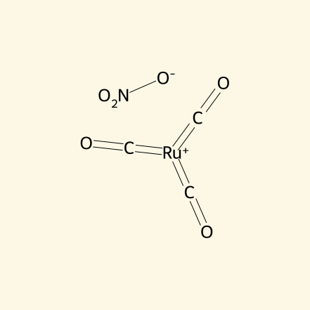 O=[C]=[Ru+](=[C]=O)=[C]=O.O=[N+]([O-])[O-]